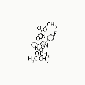 CCOC(=O)c1coc(-c2c(-c3ccc(F)cc3)noc2C2CCCCN2C(=O)OC(C)(C)C)n1